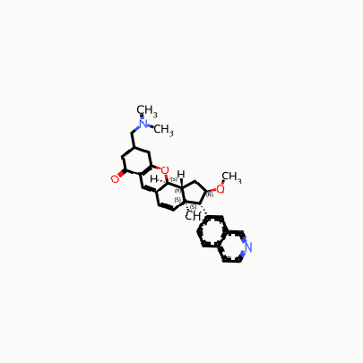 CO[C@@H]1C[C@H]2[C@@H]3OC4=C(C=C3C=C[C@]2(C)[C@H]1c1ccc2ccncc2c1)C(=O)CC(CN(C)C)C4